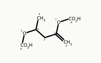 C=C(CC(C)OC(=O)O)OC(=O)O